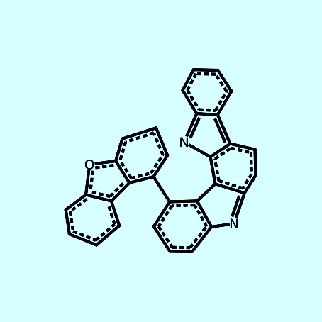 c1cc2c(c(-c3cccc4oc5ccccc5c34)c1)-c1c3c(ccc1=N2)=c1ccccc1=N3